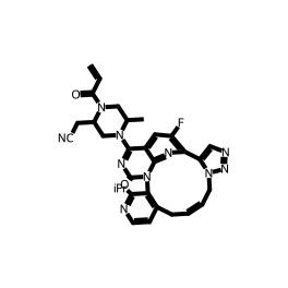 C=CC(=O)N1CC(C)N(c2nc(=O)n3c4nc(c(F)cc24)-c2cnnn2C/C=C\Cc2ccnc(C(C)C)c2-3)CC1CC#N